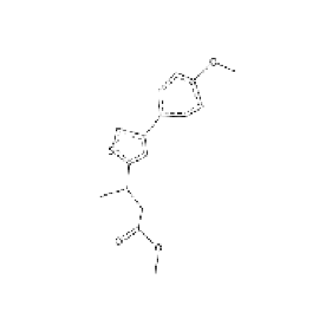 COC(=O)CC(C)c1cc(-c2ccc(OC)cc2)cs1